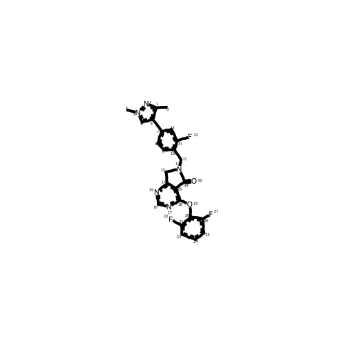 Cc1nn(C)cc1-c1ccc(CN2Cc3ncnc(Oc4c(F)cccc4F)c3C2=O)c(F)c1